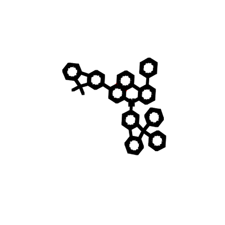 CC1(C)c2ccccc2-c2ccc(-c3ccc(N(c4ccc5c(c4)C(c4ccccc4)(c4ccccc4)c4ccccc4-5)c4cccc(-c5ccccc5)c4-c4ccccc4)cc3)cc21